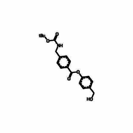 CC(C)(C)OC(=O)NCc1ccc(C(=O)Oc2ccc(CO)cc2)cc1